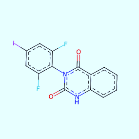 O=c1[nH]c2ccccc2c(=O)n1-c1c(F)cc(I)cc1F